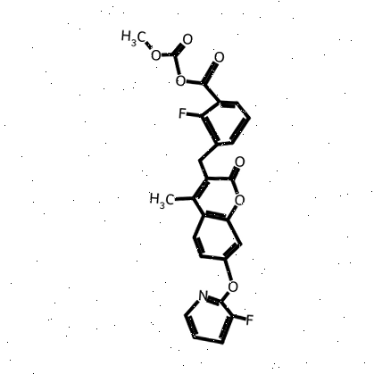 COC(=O)OC(=O)c1cccc(Cc2c(C)c3ccc(Oc4ncccc4F)cc3oc2=O)c1F